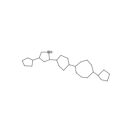 B1CC(C2CCCC2)CC1C1CCC(C2CCCC(C3CCCC3)CCC2)CC1